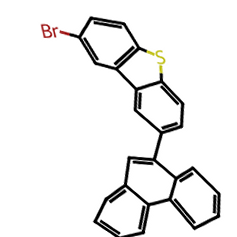 Brc1ccc2sc3ccc(-c4cc5ccccc5c5ccccc45)cc3c2c1